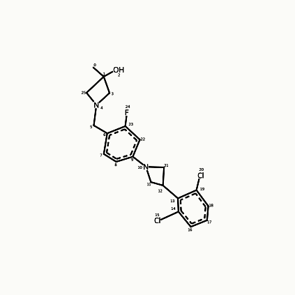 CC1(O)CN(Cc2ccc(N3CC(c4c(Cl)cccc4Cl)C3)cc2F)C1